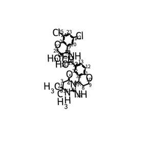 CC1(C)CC(=O)N([C@@H]2CCOc3ccc(C(O)N[C@@H]4c5cc(Cl)cc(Cl)c5OC[C@@]4(C)O)cc32)C(=N)N1